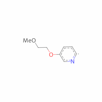 COCCOc1cc[c]nc1